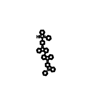 c1ccc(N2c3ccccc3NC2c2ccc(-n3c4ccccc4c4c(-c5cccc6c5c5ccccc5n6-c5ccc6c(c5)c5ccccc5n6-c5ccccc5)cccc43)cc2)cc1